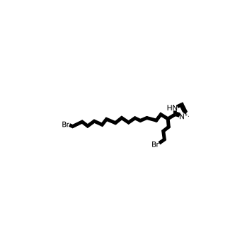 BrCCCCCCCCCCCCCCC(CCCBr)C1=[N+]C=CN1